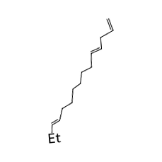 C=CCC=CCCCCCCC=CCC